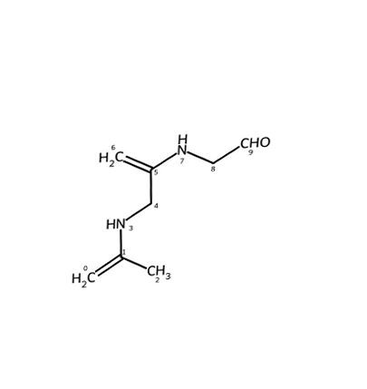 C=C(C)NCC(=C)NCC=O